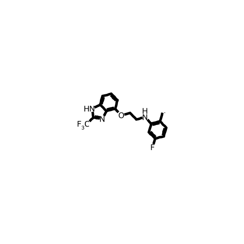 [CH2]c1ccc(F)cc1NCCOc1cccc2[nH]c(C(F)(F)F)nc12